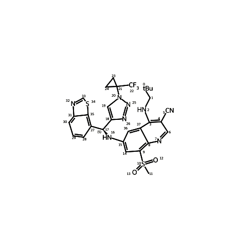 CC(C)(C)CNc1c(C#N)cnc2c(S(C)(=O)=O)cc(N[C@H](c3cn(C4(C(F)(F)F)CC4)nn3)c3cccc4ncsc34)cc12